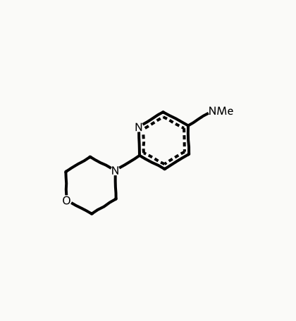 CNc1ccc(N2CCOCC2)nc1